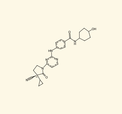 N#C[C@@]1(C2CC2)CCN(c2ccnc(Nc3ccc(C(=O)NC4CCC(O)CC4)cc3)n2)C1=O